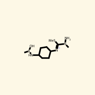 CS/C(=N\C1CCC(NB(C)O)CC1)N(C)N